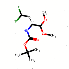 COC(OC)[C@@H](CC(F)F)NC(=O)OC(C)(C)C